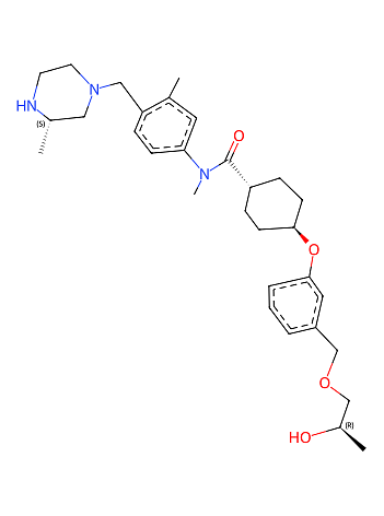 Cc1cc(N(C)C(=O)[C@H]2CC[C@H](Oc3cccc(COC[C@@H](C)O)c3)CC2)ccc1CN1CCN[C@@H](C)C1